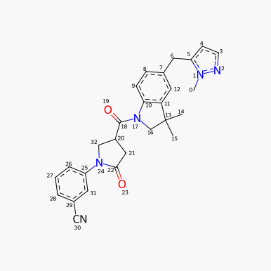 Cn1nccc1Cc1ccc2c(c1)C(C)(C)CN2C(=O)C1CC(=O)N(c2cccc(C#N)c2)C1